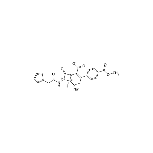 COC(=O)c1ccc(C2=C(C(=O)[O-])N3C(=O)[C@@H](NC(=O)Cc4cccs4)[C@@H]3SC2)cc1.[Na+]